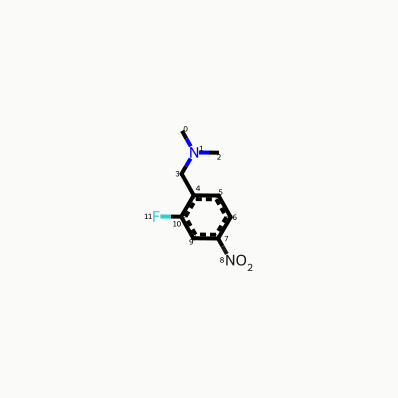 CN(C)Cc1ccc([N+](=O)[O-])cc1F